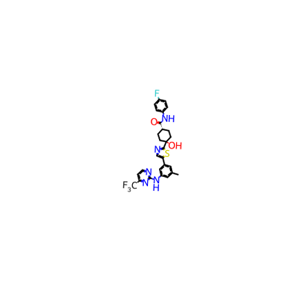 Cc1cc(Nc2nccc(C(F)(F)F)n2)cc(-c2cnc([C@]3(O)CC[C@H](C(=O)Nc4ccc(F)cc4)CC3)s2)c1